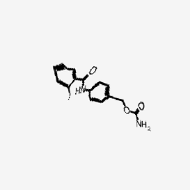 NC(=O)OCc1ccc(NC(=O)c2ccccc2I)cc1